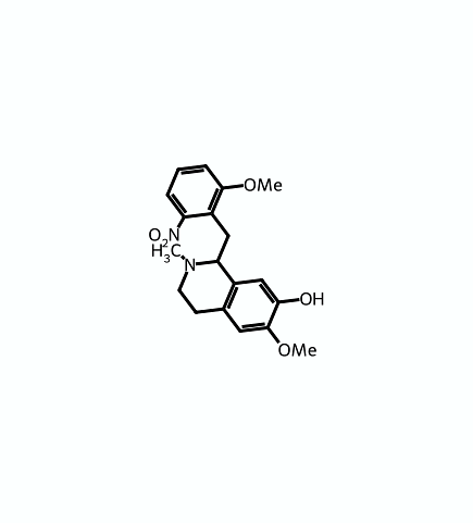 COc1cc2c(cc1O)C(Cc1c(OC)cccc1[N+](=O)[O-])N(C)CC2